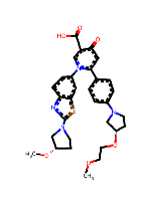 COCCO[C@@H]1CCN(c2ccc(-c3cc(=O)c(C(=O)O)cn3-c3ccc4nc(N5CC[C@H](OC)C5)sc4c3)cc2)C1